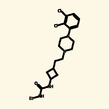 CCNC(=O)NC1CC(CCN2CCN(c3cccc(Cl)c3Cl)CC2)C1